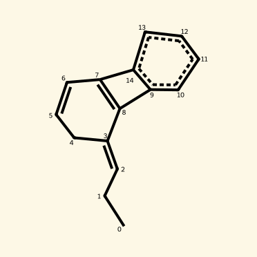 CCC=C1CC=CC2=C1c1ccccc12